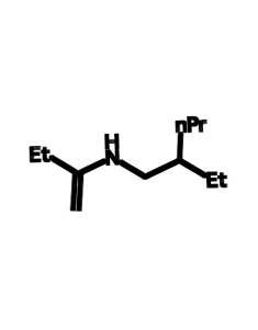 C=C(CC)NCC(CC)CCC